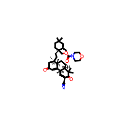 CC1CC(C)(C)CC[C@@]1(CC[C@]1(C)CC(=O)C=C2[C@@]3(C)C=C(C#N)C(=O)C(C)(C)[C@@H]3CC[C@]21C)COC(=O)N1CCOCC1